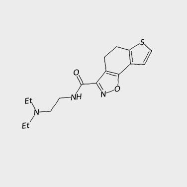 CCN(CC)CCNC(=O)c1noc2c1CCc1sccc1-2